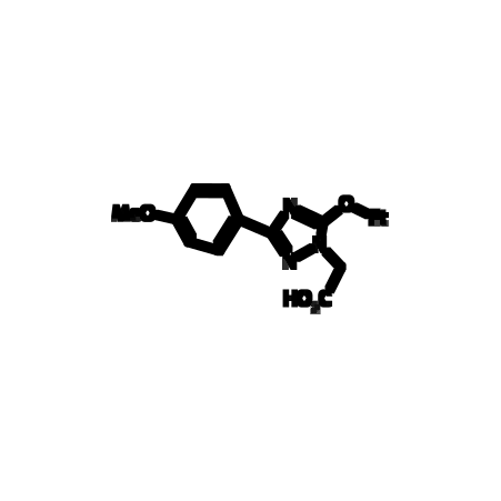 CCOc1nc(-c2ccc(OC)cc2)nn1CC(=O)O